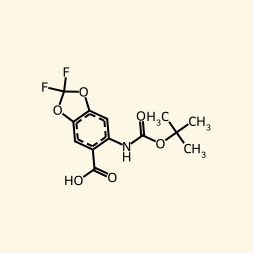 CC(C)(C)OC(=O)Nc1cc2c(cc1C(=O)O)OC(F)(F)O2